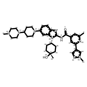 Cc1cc(C(=O)Nc2nc3ccc(N4CCC(N5CCN(C)CC5)CC4)cc3n2[C@H]2CC[C@@](C)(O)CC2)cc(-c2cnn(C)c2)n1